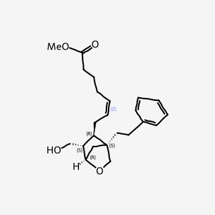 COC(=O)CCC/C=C\C[C@@H]1[C@@H](CO)[C@H]2C[C@]1(CCc1ccccc1)CO2